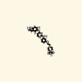 Cc1cc2c(F)c(Nc3ccnc(Nc4cccc(OCCN5CCN(S(C)(=O)=O)CC5)c4)n3)ccc2[nH]1